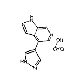 O=CO.c1cc2c(-c3cn[nH]c3)cncc2[nH]1